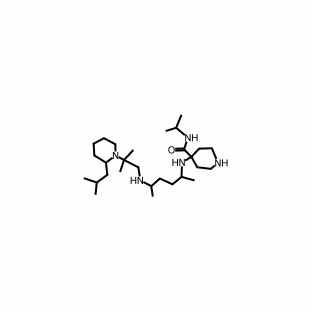 CC(C)CC1CCCCN1C(C)(C)CNC(C)CCC(C)NC1(C(=O)NC(C)C)CCNCC1